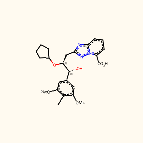 COc1cc([C@@H](O)[C@H](Cc2nc3cccc(C(=O)O)n3n2)OC2CCCC2)cc(OC)c1C